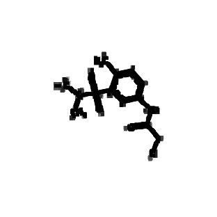 Cc1ccc(NC(=O)CCl)cc1S(=O)(=O)N(C)C